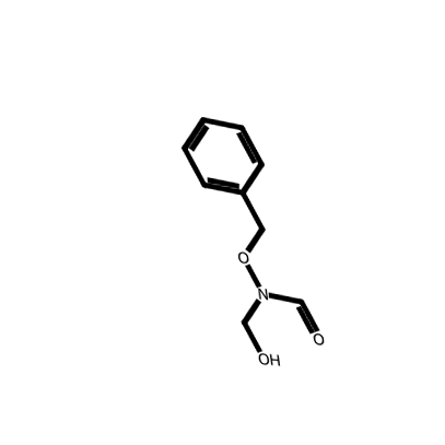 O=CN(CO)OCc1ccccc1